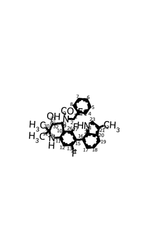 CCOC(=O)N(Cc1ccccc1)[C@H]1c2c(cc(F)c(-c3cccc4c(C)c[nH]c34)c2F)NC(C)(C)[C@@H]1O